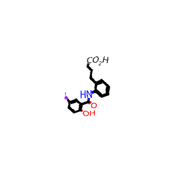 O=C(O)CCCc1ccccc1NC(=O)c1cc(I)ccc1O